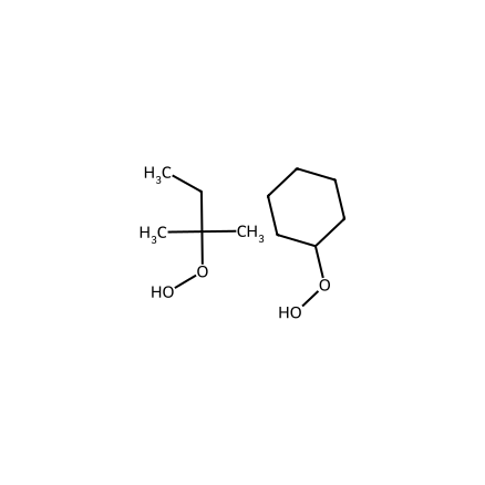 CCC(C)(C)OO.OOC1CCCCC1